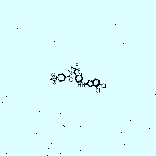 CN(C(=O)C1CCN(S(C)(=O)=O)CC1)[C@@H](c1ccc(NC2Cc3ccc(Cl)c(Cl)c3C2)cn1)C(F)(F)F